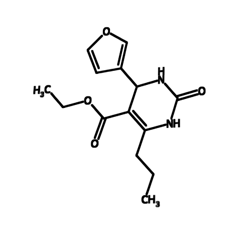 CCCC1=C(C(=O)OCC)C(c2ccoc2)NC(=O)N1